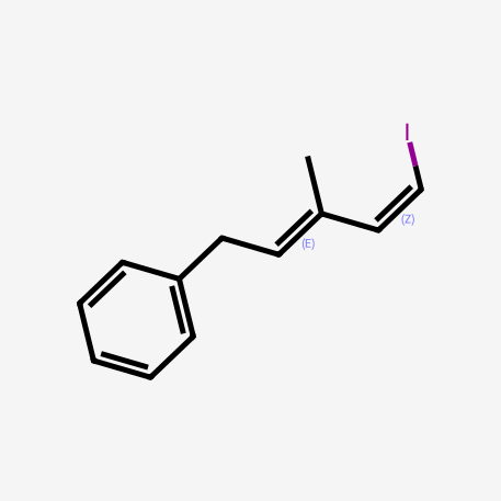 CC(/C=C\I)=C\Cc1ccccc1